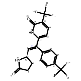 O=C1CC[C@H](/C=C(\c2ccc(C(F)(F)F)cc2)c2ccc(C(F)(F)F)c(=O)[nH]2)N1